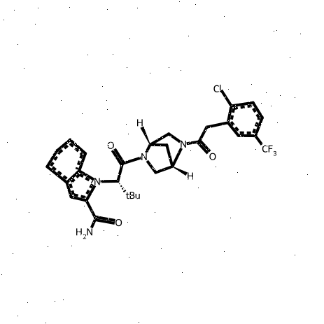 CC(C)(C)[C@@H](C(=O)N1C[C@@H]2C[C@H]1CN2C(=O)Cc1cc(C(F)(F)F)ccc1Cl)n1c(C(N)=O)cc2ccccc21